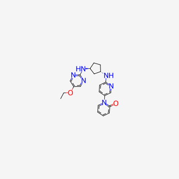 CCOc1cnc(N[C@H]2CC[C@H](Nc3ccc(-n4ccccc4=O)cn3)C2)nc1